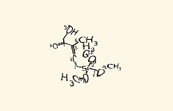 CO[Si](C=C=C(C)C(=O)O)(OC)OC